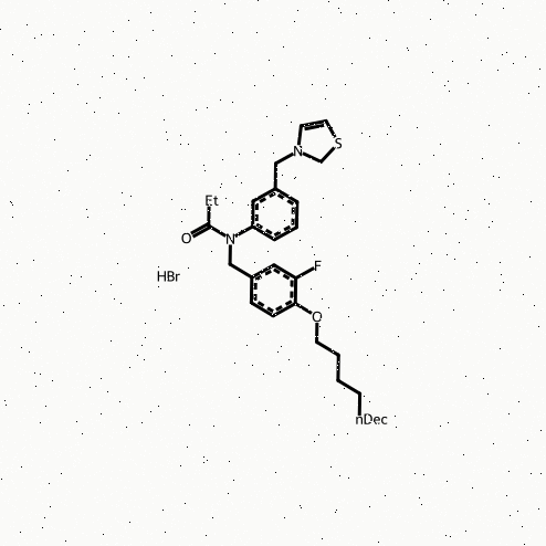 Br.CCCCCCCCCCCCCCOc1ccc(CN(C(=O)CC)c2cccc(CN3C=CSC3)c2)cc1F